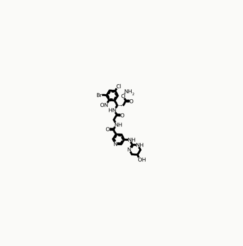 NOC(=O)C[C@H](NC(=O)CNC(=O)c1cncc(NC2=NCC(O)CN2)c1)c1cc(Cl)cc(Br)c1N=O